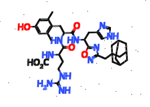 Cc1cc(O)cc(C)c1CC(NC(=O)C(CCNC(=N)N)NC(=O)O)C(=O)NC(Cc1c[nH]cn1)c1nc(CC23CC4CC(CC(C4)C2)C3)no1